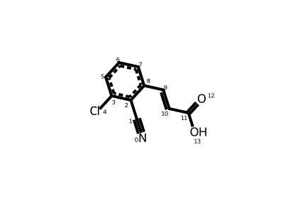 N#Cc1c(Cl)cccc1C=CC(=O)O